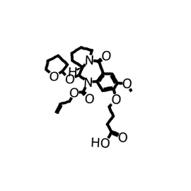 C=CCOC(=O)N1c2cc(OCCCC(=O)O)c(OC)cc2C(=O)N2CCCC[C@H]2C1OC1CCCCO1